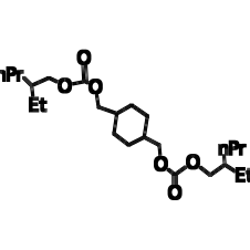 CCCC(CC)COC(=O)OCC1CCC(COC(=O)OCC(CC)CCC)CC1